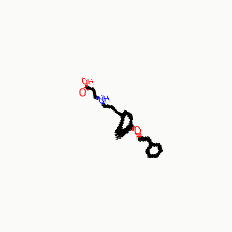 O=C(O)CCNCCCc1ccc(OCCC2CCCCC2)cc1